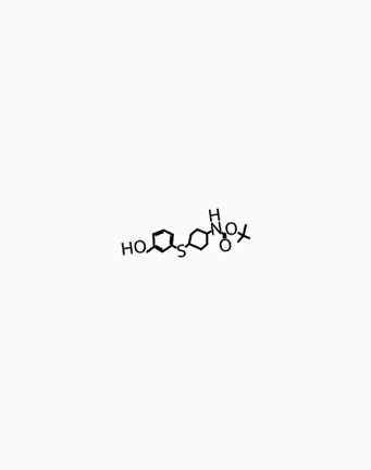 CC(C)(C)OC(=O)NC1CCC(Sc2cccc(CO)c2)CC1